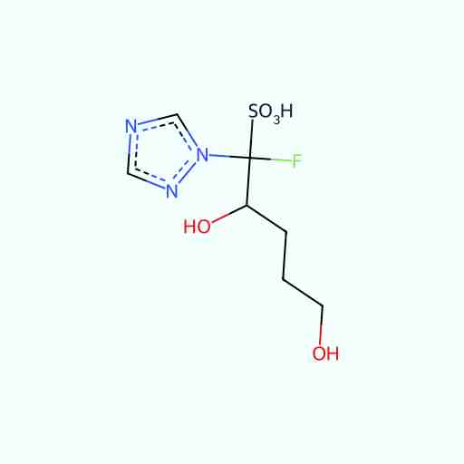 O=S(=O)(O)C(F)(C(O)CCCO)n1cncn1